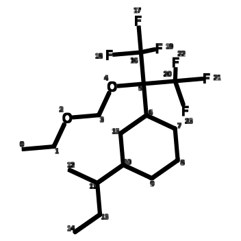 CCOCOC(C1CCCC(C(C)CC)C1)(C(F)(F)F)C(F)(F)F